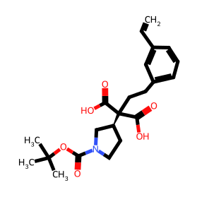 C=Cc1cccc(CCC(C(=O)O)(C(=O)O)[C@H]2CCN(C(=O)OC(C)(C)C)C2)c1